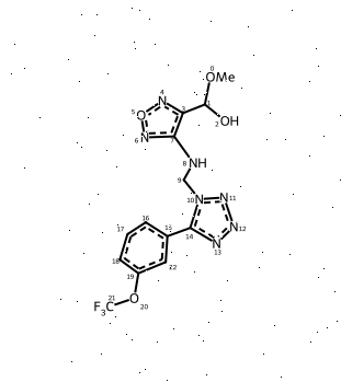 COC(O)c1nonc1NCn1nnnc1-c1cccc(OC(F)(F)F)c1